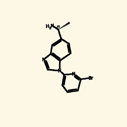 C[C@@H](N)c1ccc2c(c1)ncn2-c1cccc(Br)n1